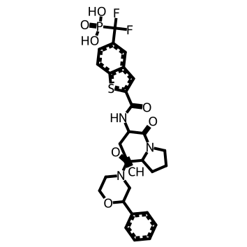 C#CCC(NC(=O)c1cc2cc(C(F)(F)P(=O)(O)O)ccc2s1)C(=O)N1CCCC1C(=O)N1CCOC(c2ccccc2)C1